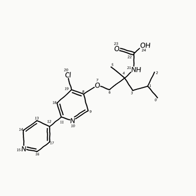 CC(C)CC(C)(COc1cnc(-c2ccncc2)cc1Cl)NC(=O)O